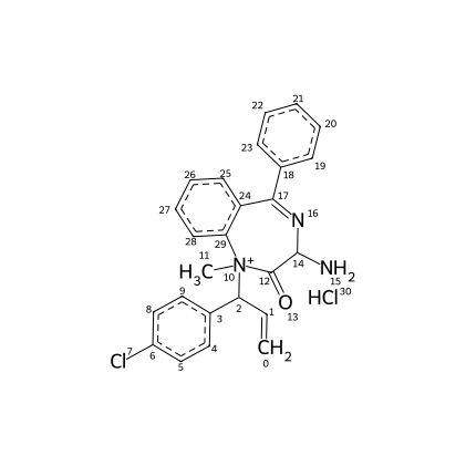 C=CC(c1ccc(Cl)cc1)[N+]1(C)C(=O)C(N)N=C(c2ccccc2)c2ccccc21.Cl